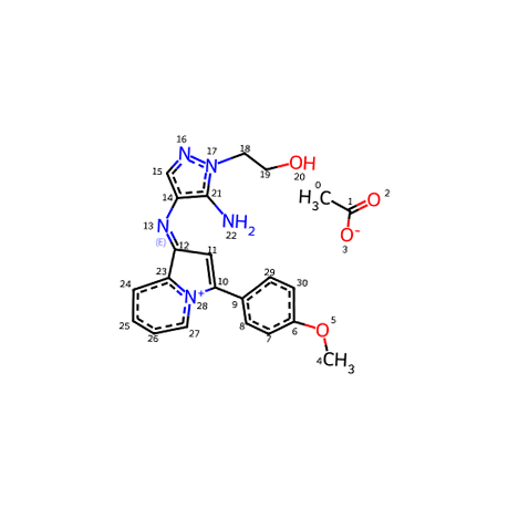 CC(=O)[O-].COc1ccc(C2=C/C(=N\c3cnn(CCO)c3N)c3cccc[n+]32)cc1